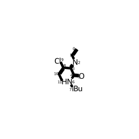 C=C/N=C(C(=O)NC(C)CC)\C(Cl)=C/C